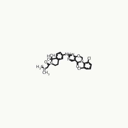 CN(C)CC(=O)N1CCc2cc(Nc3ncc4c(n3)OCN(c3c(Cl)cccc3Cl)C4=O)ccc2C1(C)C